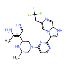 C/C(N)=C(/C=N)C1CN(c2ccnc(C3=CNC4C=NC(CC(F)(F)F)=CN34)n2)CC(C)N1